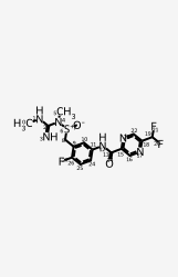 CNC(=N)N(C)[S+]([O-])Cc1cc(NC(=O)c2cnc(C(F)F)cn2)ccc1F